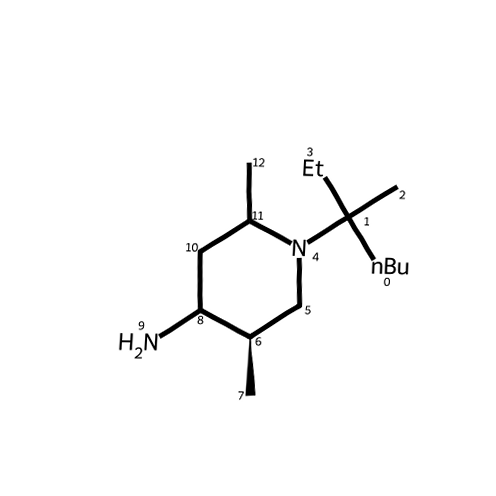 CCCCC(C)(CC)N1C[C@@H](C)C(N)CC1C